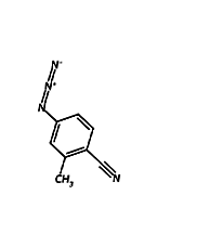 Cc1cc(N=[N+]=[N-])ccc1C#N